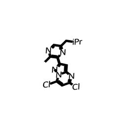 Cc1ncc(CC(C)C)nc1-c1cc2nc(Cl)cc(Cl)n2n1